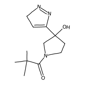 CC(C)(C)C(=O)N1CCC(O)(C2=CCN=N2)C1